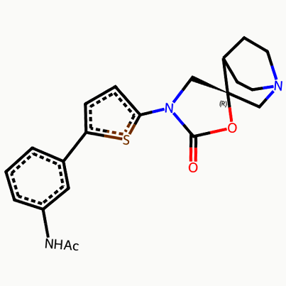 CC(=O)Nc1cccc(-c2ccc(N3C[C@@]4(CN5CCC4CC5)OC3=O)s2)c1